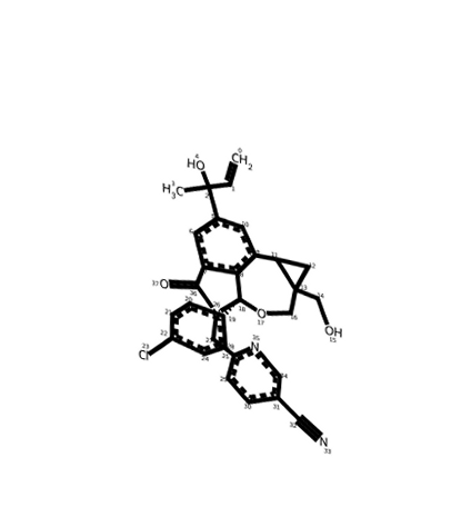 C=CC(C)(O)c1cc2c3c(c1)C1CC1(CO)CO[C@@]3(c1ccc(Cl)cc1)N(Cc1ccc(C#N)cn1)C2=O